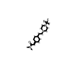 CN(C)C(=O)C=C1CCC(CCN2CCN(C(F)(F)F)CC2)CC1